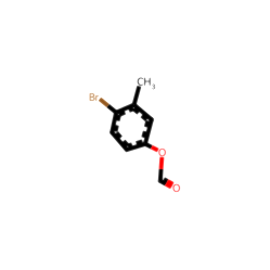 Cc1cc(OC=O)ccc1Br